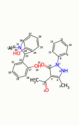 CC(=O)c1c(C)[nH]n(-c2ccccc2)c1=O.Oc1ccccc1C1c2cccc(c2O)[N]1[Al]